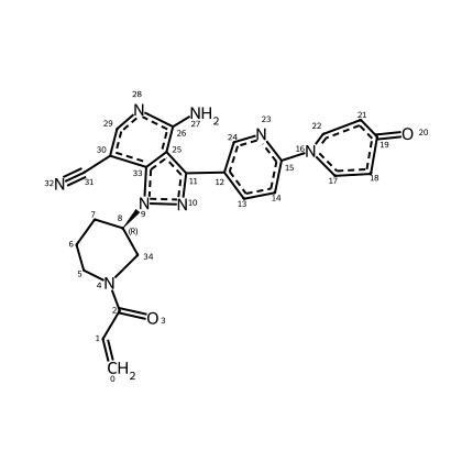 C=CC(=O)N1CCC[C@@H](n2nc(-c3ccc(-n4ccc(=O)cc4)nc3)c3c(N)ncc(C#N)c32)C1